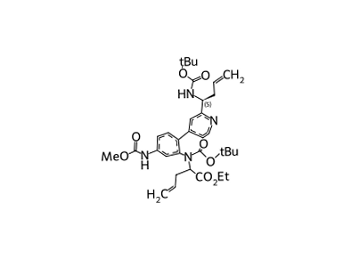 C=CCC(C(=O)OCC)N(C(=O)OC(C)(C)C)c1cc(NC(=O)OC)ccc1-c1ccnc([C@H](CC=C)NC(=O)OC(C)(C)C)c1